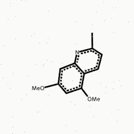 COc1cc(OC)c2ccc(C)nc2c1